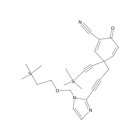 C[Si](C)(C)C#CC1(CC#Cc2nccn2COCC[Si](C)(C)C)C=CC(=O)C(C#N)=C1